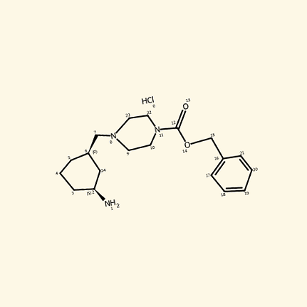 Cl.N[C@H]1CCC[C@@H](CN2CCN(C(=O)OCc3ccccc3)CC2)C1